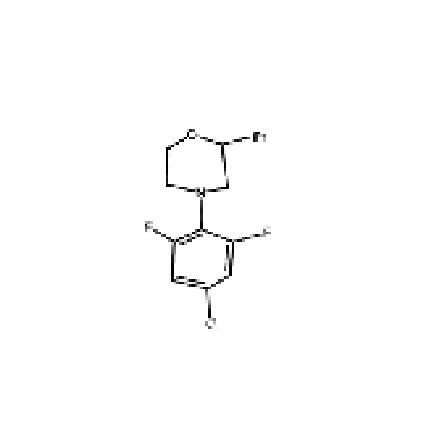 CC(C)C1CN(c2c(F)cc(Cl)cc2F)CCO1